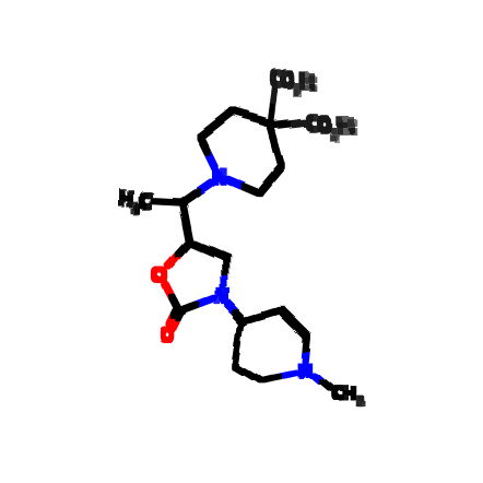 CCOC(=O)C1(C(=O)OCC)CCN(C(C)C2CN(C3CCN(C)CC3)C(=O)O2)CC1